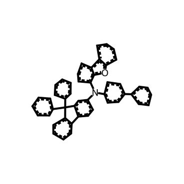 c1ccc(-c2ccc(N(c3ccc4c(c3)C(c3ccccc3)(c3ccccc3)c3ccccc3-4)c3cccc4c3oc3ccccc34)cc2)cc1